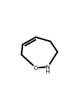 [C]1=CCONCC1